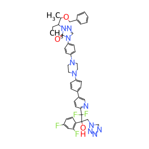 CCC(C(C)OCc1ccccc1)n1ncn(-c2ccc(N3CCN(c4ccc(-c5ccc(C(F)(F)C(O)(Cn6cnnn6)c6ccc(F)cc6F)nc5)cc4)CC3)cc2)c1=O